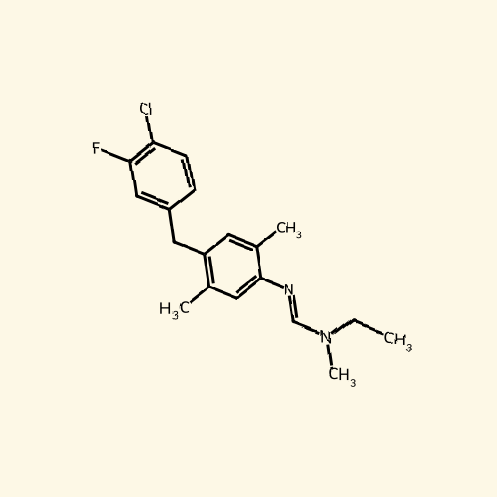 CCN(C)C=Nc1cc(C)c(Cc2ccc(Cl)c(F)c2)cc1C